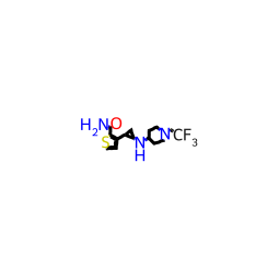 NC(=O)c1sccc1C1CC1NC1CCN(CC(F)(F)F)CC1